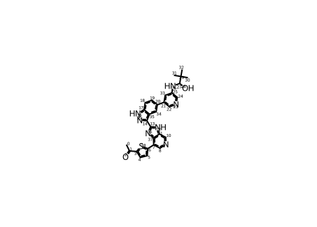 CC(=O)c1ccc(-c2cncc3[nH]c(-c4n[nH]c5ccc(-c6cncc(NC(O)C(C)(C)C)c6)cc45)nc23)s1